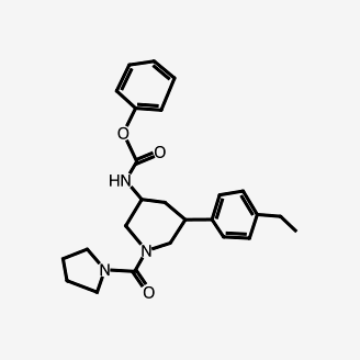 CCc1ccc(C2CC(NC(=O)Oc3ccccc3)CN(C(=O)N3CCCC3)C2)cc1